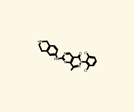 Cc1nn(-c2c(Cl)cccc2Cl)c(=O)c2cnc(Nc3ccc4c(c3)CCNC4)nc12